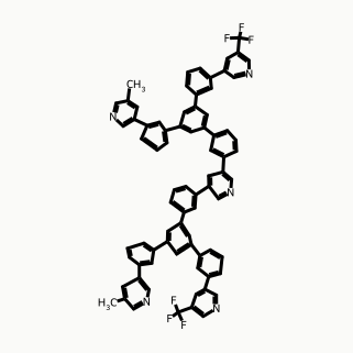 Cc1cncc(-c2cccc(-c3cc(-c4cccc(-c5cncc(-c6cccc(-c7cc(-c8cccc(-c9cncc(C)c9)c8)cc(-c8cccc(-c9cncc(C(F)(F)F)c9)c8)c7)c6)c5)c4)cc(-c4cccc(-c5cncc(C(F)(F)F)c5)c4)c3)c2)c1